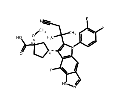 CO[C@@]1(C(=O)O)CC[C@@H](c2c(C(C)(C)CC#N)n(-c3ccc(F)c(F)c3)c3cc4cn[nH]c4c(F)c23)C1